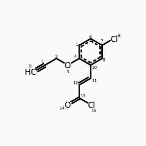 C#CCOc1ccc(Cl)cc1C=CC(=O)Cl